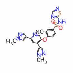 Cn1cc(-c2cc(-c3cnn(C)c3)c(Oc3ccc(S(=O)(=O)Nc4ncns4)cc3C#N)cn2)cn1